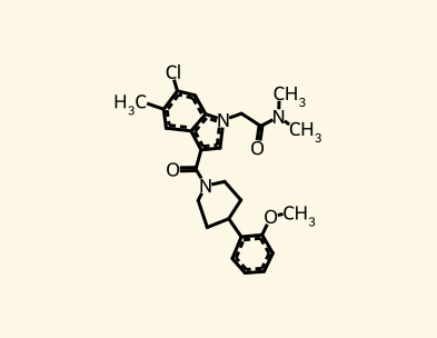 COc1ccccc1C1CCN(C(=O)c2cn(CC(=O)N(C)C)c3cc(Cl)c(C)cc23)CC1